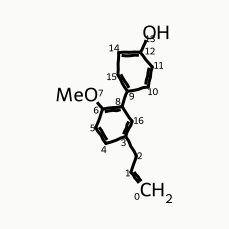 C=CCc1ccc(OC)c(-c2ccc(O)cc2)c1